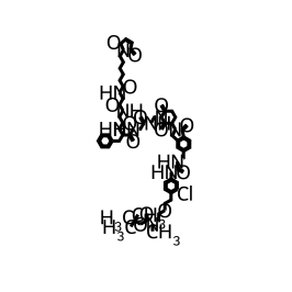 CN(CCOCCc1ccc(NC(=O)NCc2ccc3c(c2)CN(C2CCC(=O)N(CNC(=O)CNC(=O)C(Cc4ccccc4)NC(=O)CNC(=O)CNC(=O)CCCCCN4C(=O)C=CC4=O)C2=O)C3=O)cc1Cl)C(=O)OC(C)(C)C